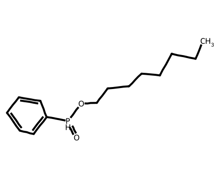 CCCCCCCCO[PH](=O)c1ccccc1